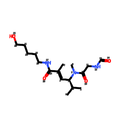 C/C(=C\[C@H](C(C)C)N(C)C(=O)CNC=O)C(=O)NCCCCCO